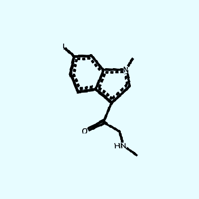 CNCC(=O)c1cn(C)c2cc(I)ccc12